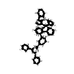 c1ccc(-c2cc(-c3ccccc3)nc(-c3cccc(-c4cccc5c4-c4ccccc4C54c5ccccc5-n5c6ccccc6c6cccc4c65)c3)n2)cc1